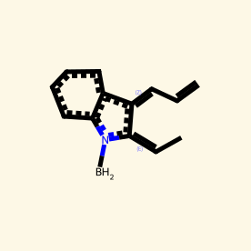 Bn1c(=C/C)/c(=C\C=C)c2ccccc21